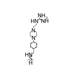 C[SH](C)NCc1ccc(N2CCN(CCNC(=N)N)CC2)cc1